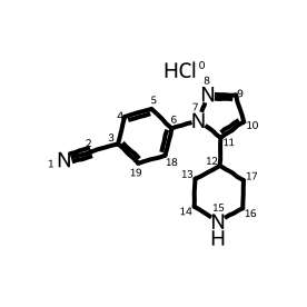 Cl.N#Cc1ccc(-n2nccc2C2CCNCC2)cc1